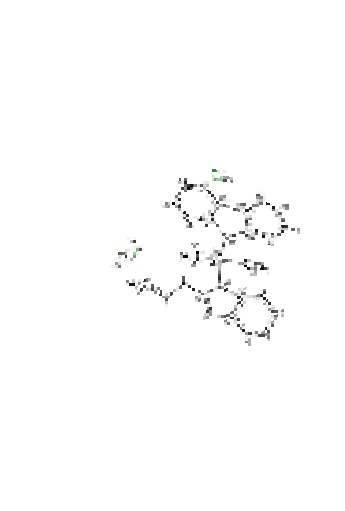 C=CCC1=Cc2ccccc2C1[Si](C)(C)C1c2ccccc2-c2ccccc21.[Cl-].[Cl-].[Hf+2]